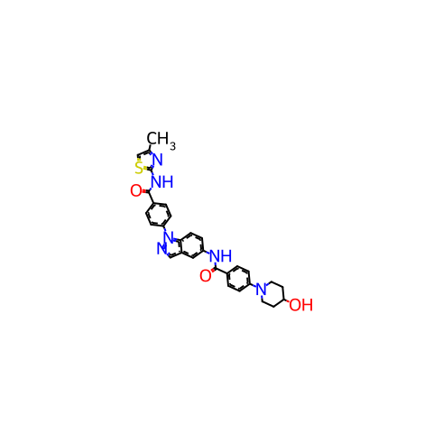 Cc1csc(NC(=O)c2ccc(-n3ncc4cc(NC(=O)c5ccc(N6CCC(O)CC6)cc5)ccc43)cc2)n1